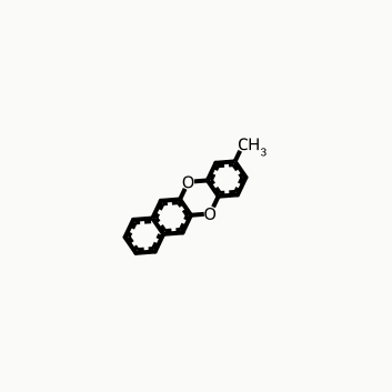 Cc1ccc2c(c1)Oc1cc3ccccc3cc1O2